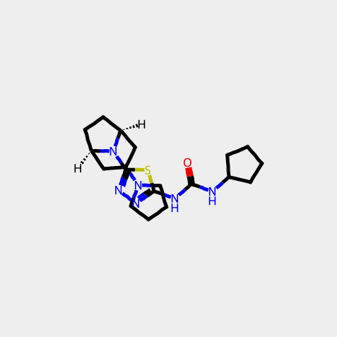 O=C(Nc1nnc(N2[C@@H]3CC[C@H]2CC(N2CCCC2)C3)s1)NC1CCCC1